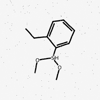 CCc1ccccc1[SiH](OC)OC